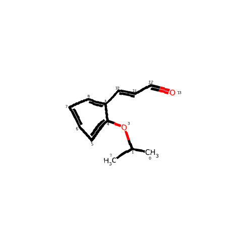 CC(C)Oc1ccccc1C=C[C]=O